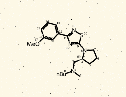 CCCCN(C)C[C@@H]1CCCN1c1nc(-c2cccc(OC)c2)ns1